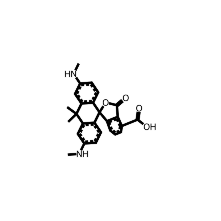 CNc1ccc2c(c1)C(C)(C)c1cc(NC)ccc1C21OC(=O)c2c(C(=O)O)cccc21